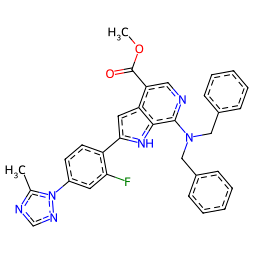 COC(=O)c1cnc(N(Cc2ccccc2)Cc2ccccc2)c2[nH]c(-c3ccc(-n4ncnc4C)cc3F)cc12